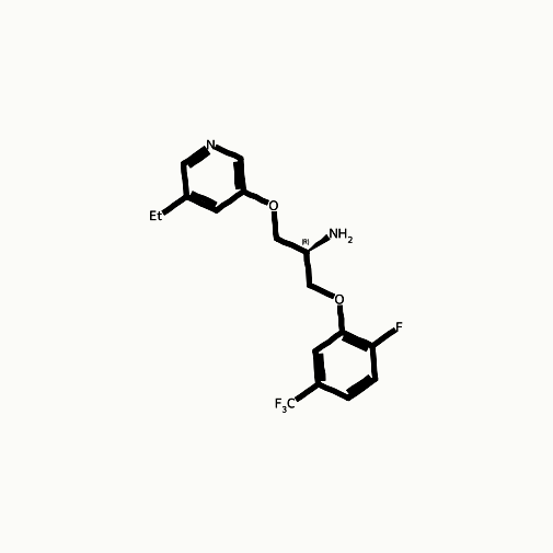 CCc1cncc(OC[C@@H](N)COc2cc(C(F)(F)F)ccc2F)c1